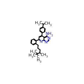 CC(C)c1ccc(-c2cc(-c3ccccc3CCCC(C)C(C)(C)C)nc3ncnc(N)c23)cc1